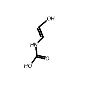 O=C(O)NC=CO